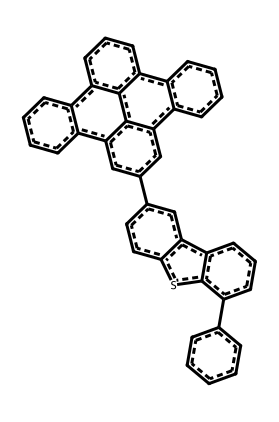 c1ccc(-c2cccc3c2sc2ccc(-c4cc5c6ccccc6c6cccc7c8ccccc8c(c4)c5c67)cc23)cc1